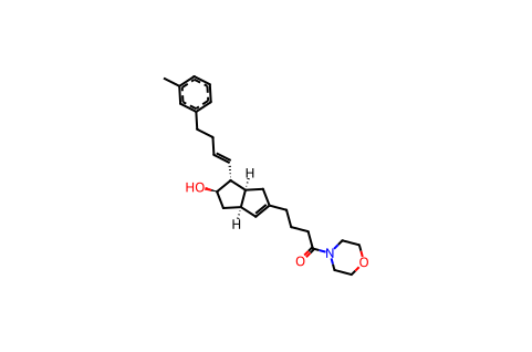 Cc1cccc(CC/C=C/[C@@H]2[C@H]3CC(CCCC(=O)N4CCOCC4)=C[C@H]3C[C@H]2O)c1